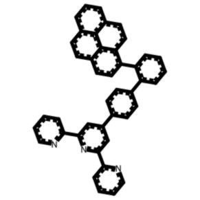 c1ccc(-c2cc(-c3ccc(-c4ccccc4-c4ccc5ccc6cccc7ccc4c5c67)cc3)cc(-c3ccccn3)n2)nc1